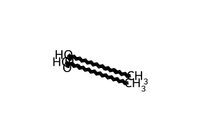 CCCCCC=CCC=CCCCCCCCCCCCC(=O)O.CCCCCCCCCCCCCCCCCC=CC=CC(=O)O